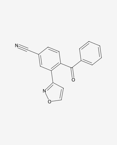 N#Cc1ccc(C(=O)c2ccccc2)c(-c2ccon2)c1